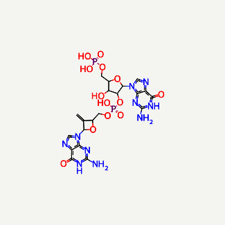 C=C1C(COP(=O)(O)OC2C(O)C(COP(=O)(O)O)OC2n2cnc3c(=O)[nH]c(N)nc32)OC1n1cnc2c(=O)[nH]c(N)nc21